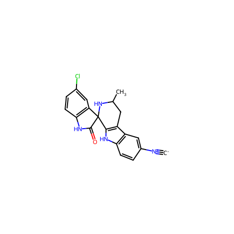 [C-]#[N+]c1ccc2[nH]c3c(c2c1)CC(C)NC31C(=O)Nc2ccc(Cl)cc21